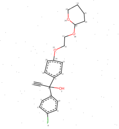 C#CC(O)(c1ccc(F)cc1)c1ccc(OCCOC2CCCCO2)cc1